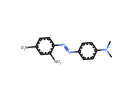 CN(C)c1ccc(N=Nc2ccc([N+](=O)[O-])cc2[N+](=O)[O-])cc1